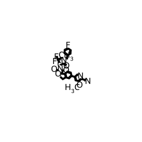 COc1cc(-c2ccc3c(c2)CC[C@@]32OC(=O)N(CC(=O)N(Cc3ccc(F)cc3)[C@@H](C)C(F)(F)F)C2=O)cnc1C#N